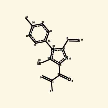 C=C(C)C(=O)c1nc(C=S)n(-c2ccc(C)cc2)c1Br